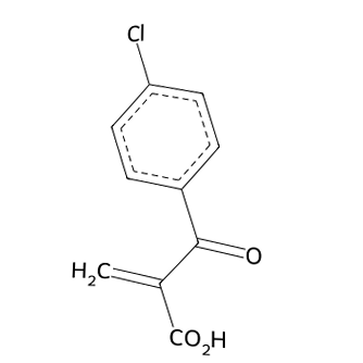 C=C(C(=O)O)C(=O)c1ccc(Cl)cc1